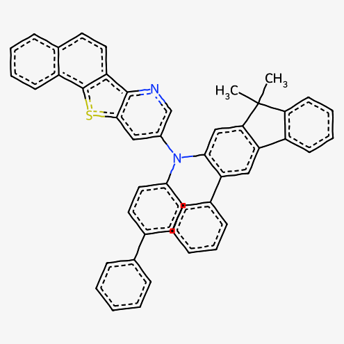 CC1(C)c2ccccc2-c2cc(-c3ccccc3)c(N(c3ccc(-c4ccccc4)cc3)c3cnc4c(c3)sc3c5ccccc5ccc43)cc21